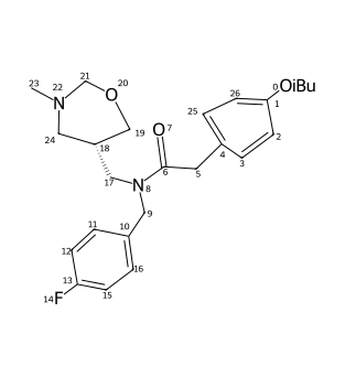 CC(C)COc1ccc(CC(=O)N(Cc2ccc(F)cc2)C[C@H]2COCN(C)C2)cc1